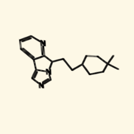 CC1(C)CCC(CCC2c3ncccc3-c3cncn32)CC1